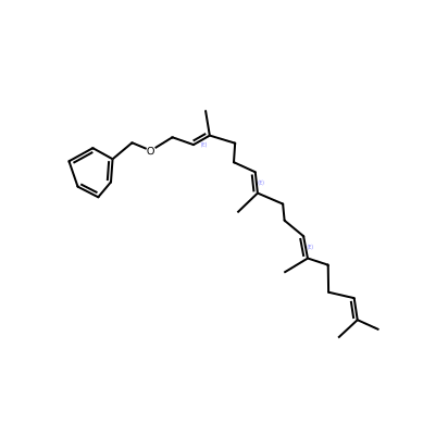 CC(C)=CCC/C(C)=C/CC/C(C)=C/CC/C(C)=C/COCc1ccccc1